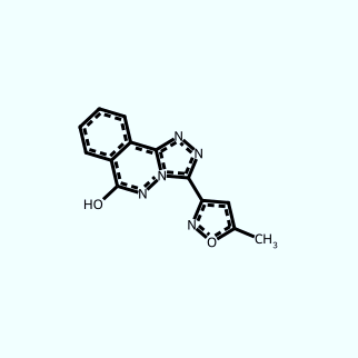 Cc1cc(-c2nnc3c4ccccc4c(O)nn23)no1